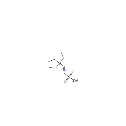 CC[Si](/[C]=C/S(=O)(=O)O)(CC)CC